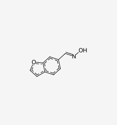 ON=Cc1ccc2ccoc2c1